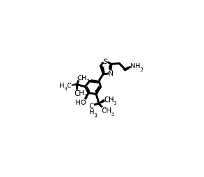 CC(C)(C)c1cc(-c2csc(CCN)n2)cc(C(C)(C)C)c1O